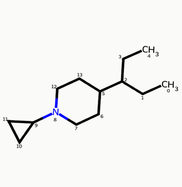 CCC(CC)C1CCN(C2CC2)CC1